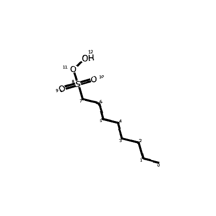 CCCCCCCCS(=O)(=O)OO